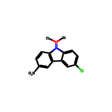 CCOCC.O=[N+]([O-])c1ccc2[nH]c3ccc(Cl)cc3c2c1